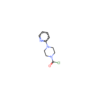 O=C(Cl)N1CCN(c2ccccn2)CC1